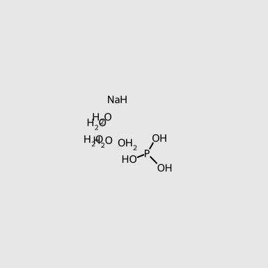 O.O.O.O.O.OP(O)O.[NaH]